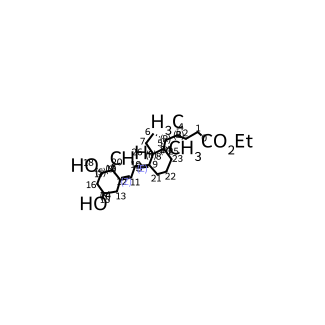 CCOC(=O)CC[C@@H](C)[C@H]1CC[C@H]2/C(=C/C=C3/C[C@@H](O)C[C@H](O)[C@H]3C)CCC[C@]12C